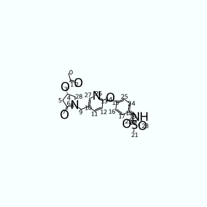 CC(=O)O[C@H]1CC(=O)N(Cc2ccc(Oc3ccc(NS(C)(=O)=O)cc3)nc2)C1